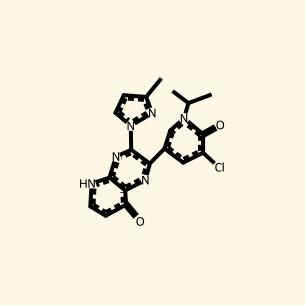 Cc1ccn(-c2nc3[nH]ccc(=O)c3nc2-c2cc(Cl)c(=O)n(C(C)C)c2)n1